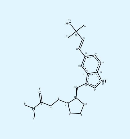 CN(C)C(=O)CCN1CCC[C@@H]1Cc1c[nH]c2ccc(C=CC(C)(C)O)cc12